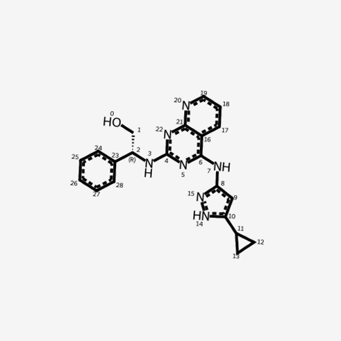 OC[C@H](Nc1nc(Nc2cc(C3CC3)[nH]n2)c2cccnc2n1)c1ccccc1